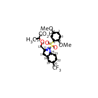 COc1ccc(OC)c(S(=O)(=O)n2c(COC(C)C(=O)O)cc3cc(C(F)(F)F)ccc32)c1